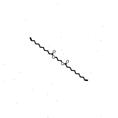 C=CCCCCCCCCC(=O)OCCCOC(=O)CCCCCCCCC=C